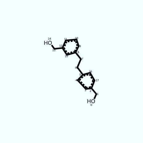 OCc1ccc([CH]Cc2cccc(CO)c2)cc1